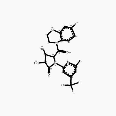 Cc1cc(C(F)(F)F)cc(N2C(=O)C(O)C(O)C2C(=O)N2CCOc3cc(F)ccc32)n1